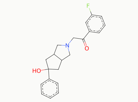 O=C(CN1CC2CC(O)(c3ccccc3)CC2C1)c1cccc(F)c1